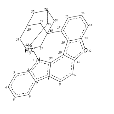 Cn1c2ccccc2c2ccc3oc4cccc(C56CC7CC(CC(C7)C5)C6)c4c3c21